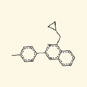 Cc1ccc(-c2cc3ccccc3c(CC3CC3)n2)cc1